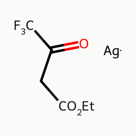 CCOC(=O)CC(=O)C(F)(F)F.[Ag]